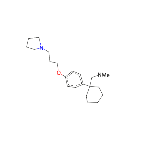 CNCC1(c2ccc(OCCCN3CCCC3)cc2)CCCCC1